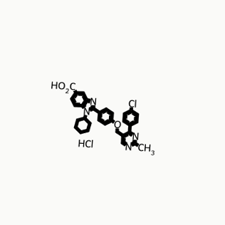 Cc1ncc(COc2ccc(-c3nc4cc(C(=O)O)ccc4n3C3CCCCC3)cc2)c(-c2ccc(Cl)cc2)n1.Cl